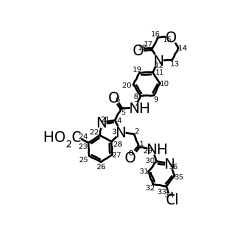 O=C(Cn1c(C(=O)Nc2ccc(N3CCOCC3=O)cc2)nc2c(C(=O)O)cccc21)Nc1ccc(Cl)cn1